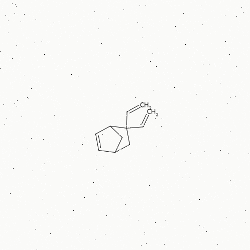 C=CC1(C=C)CC2C=CC1C2